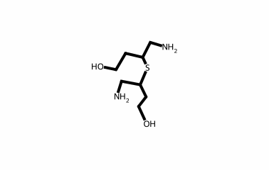 NCC(CCO)SC(CN)CCO